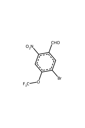 O=Cc1cc(Br)c(OC(F)(F)F)cc1[N+](=O)[O-]